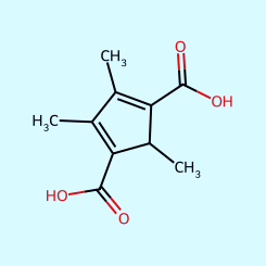 CC1=C(C(=O)O)C(C)C(C(=O)O)=C1C